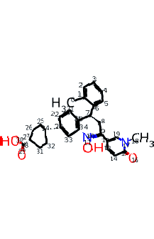 Cc1ccccc1[C@@H](CC(=NO)c1ccc(=O)n(C)c1)c1ccc([C@H]2CC[C@@H](C(=O)O)CC2)cc1